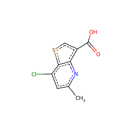 Cc1cc(Cl)c2scc(C(=O)O)c2n1